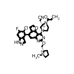 C=CC(=O)N1CCN(c2nc(OC[C@@H]3CCCN3C)nc3cc(-c4c(Cl)c(F)cc5[nH]ncc45)c4ccoc4c23)C[C@@H]1CC#N